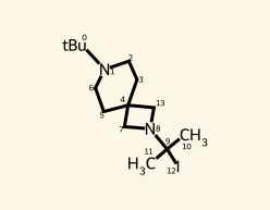 CC(C)(C)N1CCC2(CC1)CN(C(C)(C)I)C2